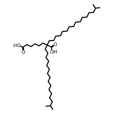 CC(C)CCCCCCCCCCCCCCC(CCCCCCCCCCCCCCC(C)C)(CCCCCC(=O)O)C(=O)O